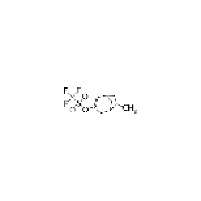 CC1CC2C=C(OS(=O)(=O)C(F)(F)F)CC1C2